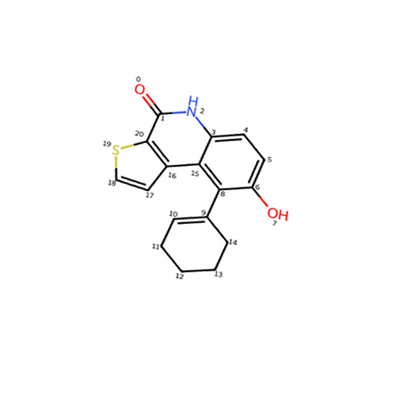 O=c1[nH]c2ccc(O)c(C3=CCCCC3)c2c2ccsc12